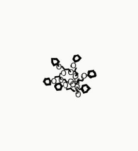 O=S(=O)(CC(COc1ccccc1)OCC(COc1ccccc1)OCC(COc1ccccc1)OCC(COc1ccccc1)OCC(COc1ccccc1)OCCO)c1ccccc1